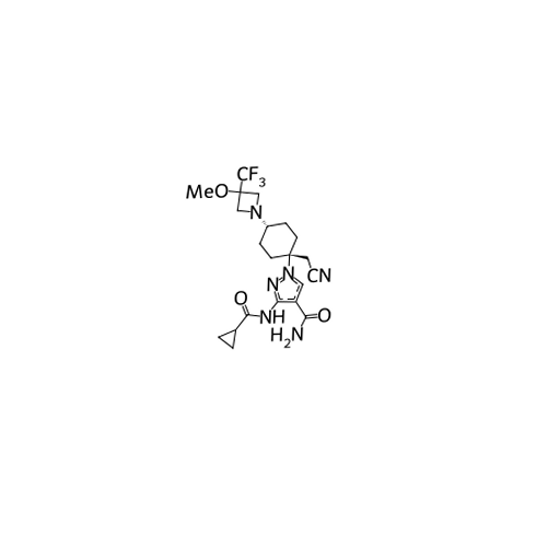 COC1(C(F)(F)F)CN([C@H]2CC[C@@](CC#N)(n3cc(C(N)=O)c(NC(=O)C4CC4)n3)CC2)C1